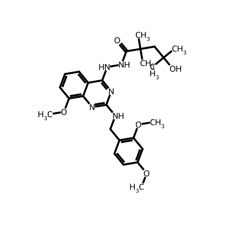 COc1ccc(CNc2nc(NNC(=O)C(C)(C)CC(C)(C)O)c3cccc(OC)c3n2)c(OC)c1